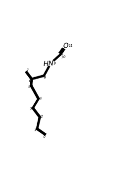 CCCCCCC(C)CN[C]=O